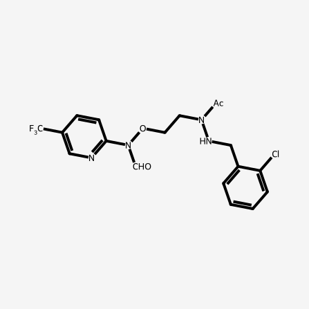 CC(=O)N(CCON(C=O)c1ccc(C(F)(F)F)cn1)NCc1ccccc1Cl